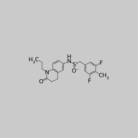 CCCN1C(=O)CCc2cc(N[S+]([O-])Cc3cc(F)c(C)c(F)c3)ccc21